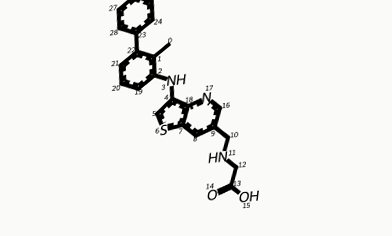 Cc1c(Nc2csc3cc(CNCC(=O)O)cnc23)cccc1-c1ccccc1